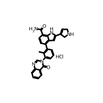 Cc1c(-c2ccc(C(N)=O)c3[nH]c(C4=CCNC4)cc23)cccc1-n1cnc2ccccc2c1=O.Cl